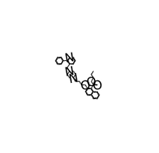 CCCOC(=O)c1c(OCCCN2CCN(Cc3cccnc3-c3ccccc3)CC2)ccc2ccccc12